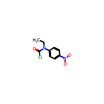 CCN(C(=O)Cl)c1ccc([N+](=O)[O-])cc1